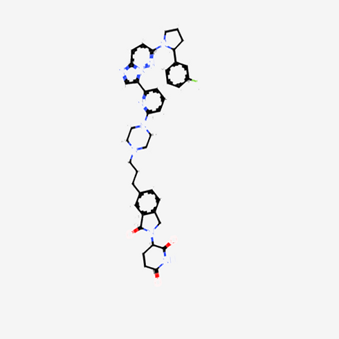 O=C1CCC(N2Cc3ccc(CCCN4CCN(c5cccc(-c6cnc7ccc(N8CCCC8c8cccc(F)c8)nn67)n5)CC4)cc3C2=O)C(=O)N1